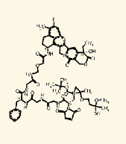 CC[C@@]1(O)C(=O)OCc2c1cc1n(c2=O)Cc2c-1nc1cc(F)c(C)c3c1c2[C@@H](NC(=O)COCNC(=O)CNC(=O)[C@H](Cc1ccccc1)NC(=O)CNC(=O)CNC(=O)[C@H](C[N+]1(C(=O)OC(C)(C)C)CC1(C)OCCC(C)(S)OC)N1C(=O)C=CC1=O)CC3